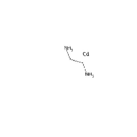 NCCN.[Cd]